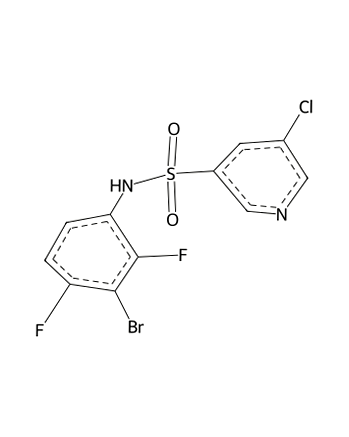 O=S(=O)(Nc1ccc(F)c(Br)c1F)c1cncc(Cl)c1